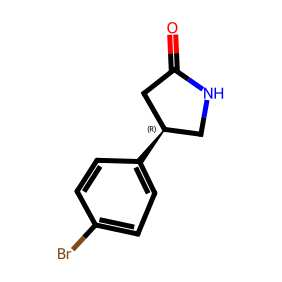 O=C1C[C@H](c2ccc(Br)cc2)CN1